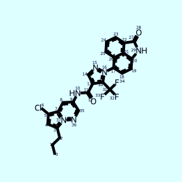 CCCc1cc(Cl)c2cc(NC(=O)c3cnn(-c4ccc5c6c(cccc46)C(=O)N5)c3C(F)(F)F)cnn12